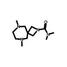 CN1CCN(C)CC2(C1)CN(C(=O)N(C)C)C2